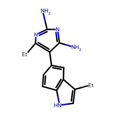 CCc1nc(N)nc(N)c1-c1ccc2[nH]cc(CC)c2c1